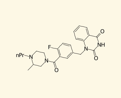 CCCN1CCN(C(=O)c2cc(Cn3c(=O)[nH]c(=O)c4ccccc43)ccc2F)CC1C